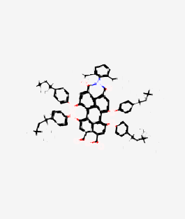 CC(C)c1cccc(C(C)C)c1N1C(=O)c2cc(Oc3ccc(C(C)(C)CC(C)(C)C)cc3)c3c4c(Oc5ccc(C(C)(C)CC(C)(C)C)cc5)cc5c6c(cc(Oc7ccc(C(C)(C)CC(C)(C)C)cc7)c(c7c(Oc8ccc(C(C)(C)CC(C)(C)C)cc8)cc(c2c37)C1=O)c64)C(=O)OC5=O